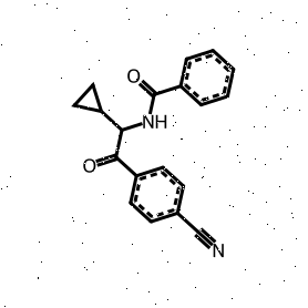 N#Cc1ccc(C(=O)C(NC(=O)c2ccccc2)C2CC2)cc1